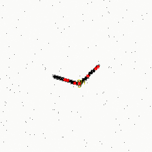 CCCCCCCCCCCCCCCCCCP(=S)(S)CCCCCCCCCCCCCCCCCC